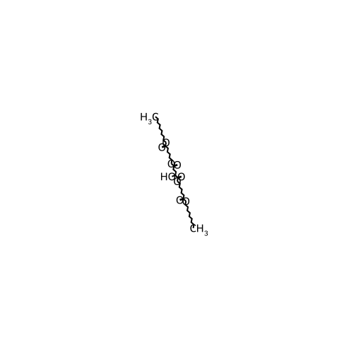 CCCCCCCCCOC(=O)CCCCCOC(=O)CCC(O)C(=O)OCCCCCC(=O)OCCCCCCCCC